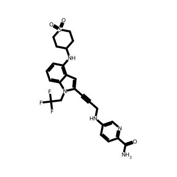 NC(=O)c1ccc(NCC#Cc2cc3c(NC4CCS(=O)(=O)CC4)cccc3n2CC(F)(F)F)cn1